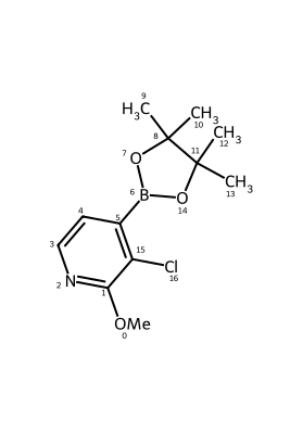 COc1nccc(B2OC(C)(C)C(C)(C)O2)c1Cl